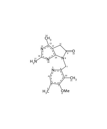 COc1c(C)cnc(CN2C(=O)Cc3c(C)nc(N)nc32)c1C